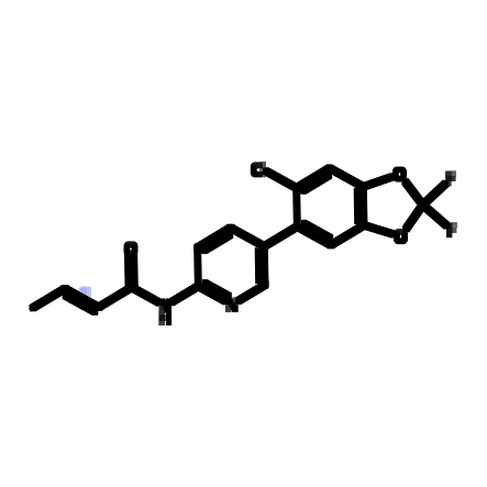 C/C=C/C(=O)Nc1ccc(-c2cc3c(cc2Cl)OC(F)(F)O3)cn1